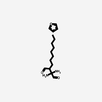 CCCCCCCCC(C=O)C(N)(N)C=O.c1ccoc1